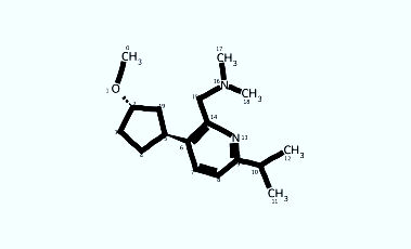 CO[C@H]1CC[C@H](c2ccc(C(C)C)nc2CN(C)C)C1